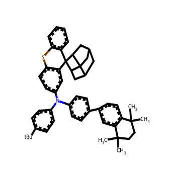 CC(C)(C)c1ccc(N(c2ccc(-c3ccc4c(c3)C(C)(C)CCC4(C)C)cc2)c2ccc3c(c2)C2(c4ccccc4S3)C3CC4CC5CC2C53C4)cc1